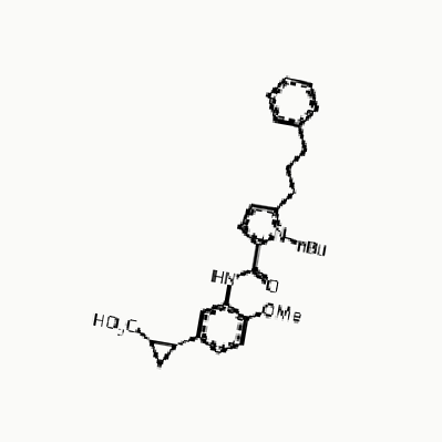 CCCCn1c(CCCc2ccccc2)ccc1C(=O)Nc1cc([C@H]2C[C@H]2C(=O)O)ccc1OC